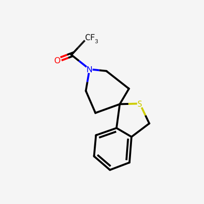 O=C(N1CCC2(CC1)SCc1ccccc12)C(F)(F)F